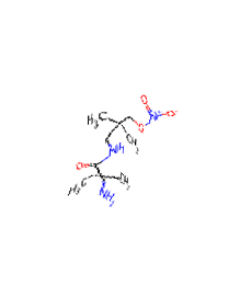 CC(C)(CNC(=O)C(C)(C)N)CO[N+](=O)[O-]